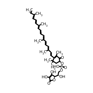 C=C/C(C)=C/C=C/C(C)=C/C=C/C=C(C)/C=C/C=C(C)/C=C/C1=C(C)C(=O)C(OP(=O)(O)OC[C@H](O)[C@H]2OC(=O)C(O)=C2O)CC1(C)C